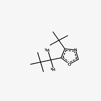 [2H]C([2H])(c1ocnc1C(C)(C)C)C(C)(C)C